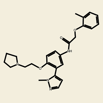 Cc1ccccc1OCC(=O)Nc1ccc(OCCN2CCCC2)c(-c2ccnn2C)c1